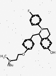 CCCCN(C)CCOc1ccc(CC2c3ccc(O)cc3CCN2c2ccc(F)cc2)cc1